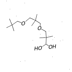 CC(C)(C)COCC(C)(C)COCC(C)(C)C(O)O